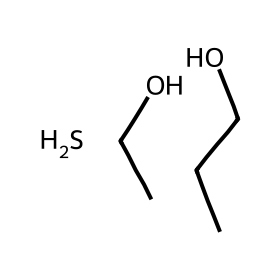 CCCO.CCO.S